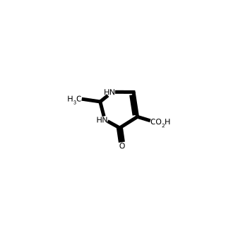 CC1NC=C(C(=O)O)C(=O)N1